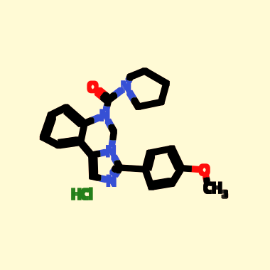 COc1ccc(-c2ncc3n2CN(C(=O)N2CCCCC2)c2ccccc2-3)cc1.Cl